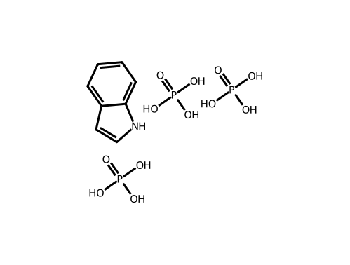 O=P(O)(O)O.O=P(O)(O)O.O=P(O)(O)O.c1ccc2[nH]ccc2c1